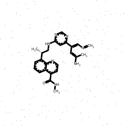 C=N/C=C(\C=C(/C)N)c1cc(NC[C@@H](C)c2cccc3c(C(=O)NC)ccnc23)ncn1